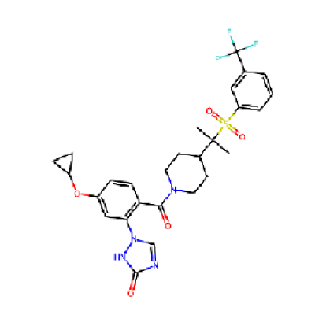 CC(C)(C1CCN(C(=O)c2ccc(OC3CC3)cc2-n2cnc(=O)[nH]2)CC1)S(=O)(=O)c1cccc(C(F)(F)F)c1